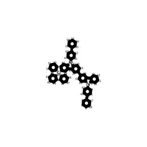 c1ccc(-c2ccc(-n3c4ccccc4c4cc(-c5ccc6c(c5)c5cc([Si](c7ccccc7)(c7ccccc7)c7ccccc7)ccc5n6-c5ccc(-c6ccccc6)cc5)ccc43)cc2)cc1